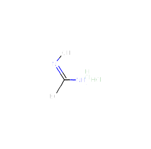 CCC(N)=NC.Cl.Cl